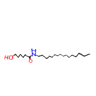 CCCCCCCCCCCCCCCCNC(=O)CCCCCO